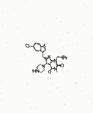 CC(C)Cn1c(=O)n(C)c(=O)c2c(N3CCNCC3)n(Cc3csc4ccc(Cl)cc34)nc21